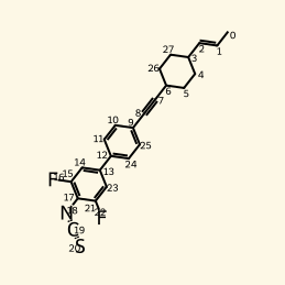 C/C=C/C1CCC(C#Cc2ccc(-c3cc(F)c(N=C=S)c(F)c3)cc2)CC1